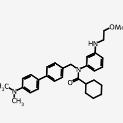 COCCNc1cccc(N(Cc2ccc(-c3ccc(N(C)C)cc3)cc2)C(=O)C2CCCCC2)c1